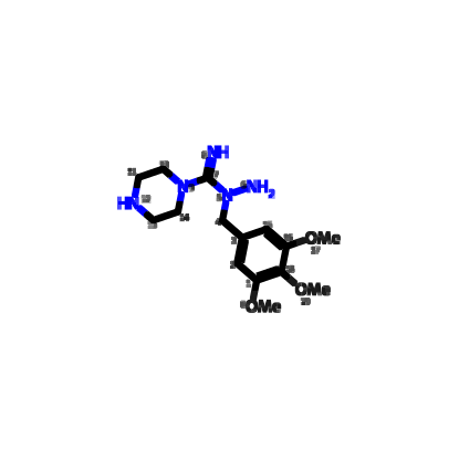 COc1cc(CN(N)C(=N)N2CCNCC2)cc(OC)c1OC